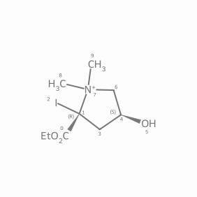 CCOC(=O)[C@]1(I)C[C@H](O)C[N+]1(C)C